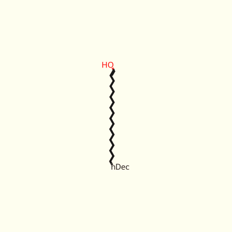 CCCCCCCCCCCCCCCCCCCCCCCCCCC=CO